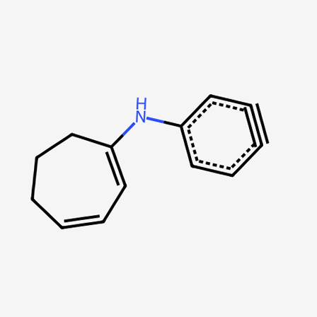 c1ccc(NC2=CC=CCCC2)cc#1